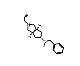 C[C](C)CN1C[C@H]2C[C@H](N(C)Cc3ccccc3)C[C@H]2C1